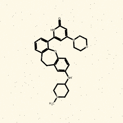 CN1CCC(Nc2ccc3c(c2)CCc2cccc(-c4cc(N5CCOCC5)cc(=O)[nH]4)c2O3)CC1